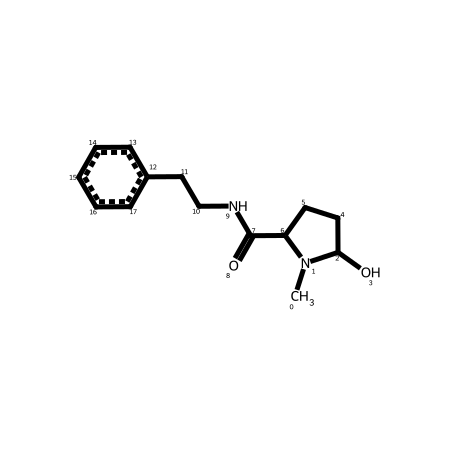 CN1C(O)CCC1C(=O)NCCc1ccccc1